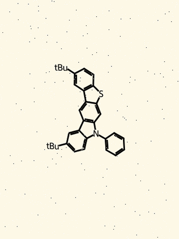 CC(C)(C)c1ccc2sc3cc4c(cc3c2c1)c1cc(C(C)(C)C)ccc1n4-c1ccccc1